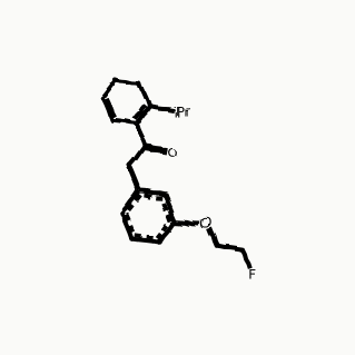 CC(C)C1=C(C(=O)Cc2cccc(OCCF)c2)C=CCC1